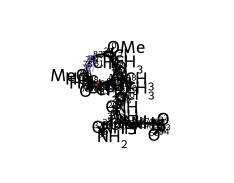 COc1cc2cc(c1Cl)N(C)C(=O)C[C@H](OC(=O)[C@H](C)N(C)C(=O)c1ccc(NC(=O)[C@H](CCCNC(N)=O)NC(=O)[C@@H](NC(=S)NCCCCN3C(=O)C=CC3=O)C(C)C)cc1Cl)[C@]1(C)O[C@H]1[C@H](C)[C@@H]1C[C@@](O)(NC(=O)O1)[C@H](OC)/C=C/C=C(\C)C2